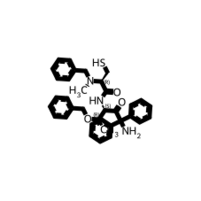 C[C@@H](OCc1ccccc1)[C@H](NC(=O)[C@H](CS)N(C)Cc1ccccc1)C(=O)C(N)(c1ccccc1)c1ccccc1